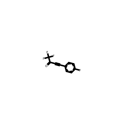 O=C(C#Cc1ccc(F)cc1)C(F)(F)F